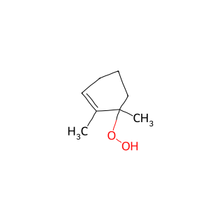 CC1=CCCCC1(C)OO